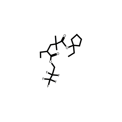 CCC(CC(C)(C)C(=O)OC1(CC)CCCC1)C(=O)OCC(F)(F)C(F)(F)F